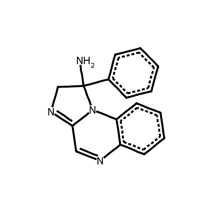 NC1(c2ccccc2)CN=C2C=Nc3ccccc3N21